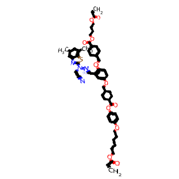 C=CC(=O)OCCCCCCOc1ccc(OC(=O)C2CCC(COc3ccc(OCC4CCC(C(=O)OCCCCOC(=O)C=C)CC4)c(/C=N/N(CC#N)c4nc5cc(C)cc(C)c5s4)c3)CC2)cc1